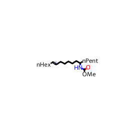 CCCCCC/C=C/CCCCCC(CCCCC)NC(=O)OC